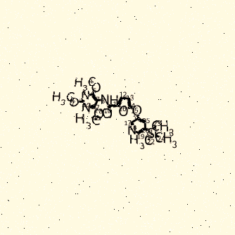 COc1nc(OC)c(NC(=O)c2ccc(Oc3cncc([Si](C)(C)C)c3)o2)c(OC)n1